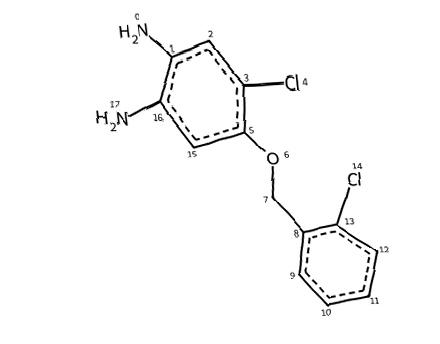 Nc1cc(Cl)c(OCc2ccccc2Cl)cc1N